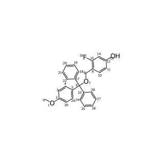 COc1ccc(C(OCc2ccc(O)cc2F)(c2ccccc2)c2ccccc2)cc1